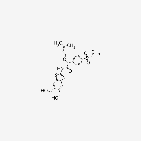 CCS(=O)(=O)c1ccc(C(OCC=C(C)C)C(=O)Nc2nc3cc(CO)c(CO)cc3s2)cc1